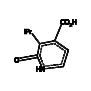 CC(C)c1c(C(=O)O)cc[nH]c1=O